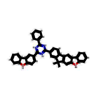 CC1(C)c2cc(-c3nc(-c4ccccc4)nc(-c4ccc5oc6ccccc6c5c4)n3)ccc2-c2cc3c(cc21)oc1ccccc13